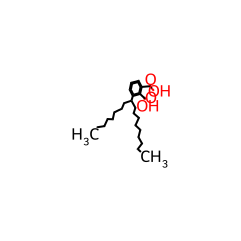 CCCCCCCCCC(CCCCCCCC)c1cccc(C(=O)O)c1C(=O)O